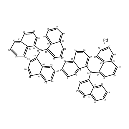 [Pd].c1ccc2c(P(c3cccc4ccccc34)c3cccc4ccccc34)cccc2c1.c1ccc2c(P(c3cccc4ccccc34)c3cccc4ccccc34)cccc2c1